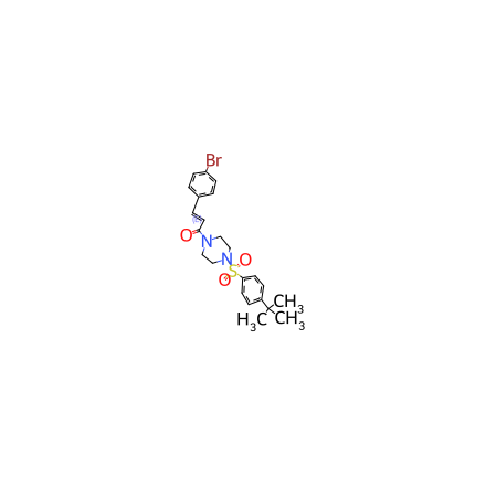 CC(C)(C)c1ccc(S(=O)(=O)N2CCN(C(=O)/C=C/c3ccc(Br)cc3)CC2)cc1